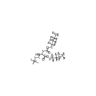 C[N+](C)(C)CCNC(CC(=O)OCC(F)(F)C(F)(F)C(F)(F)C(F)F)C(=O)OCC(F)(F)C(F)(F)C(F)(F)C(F)F